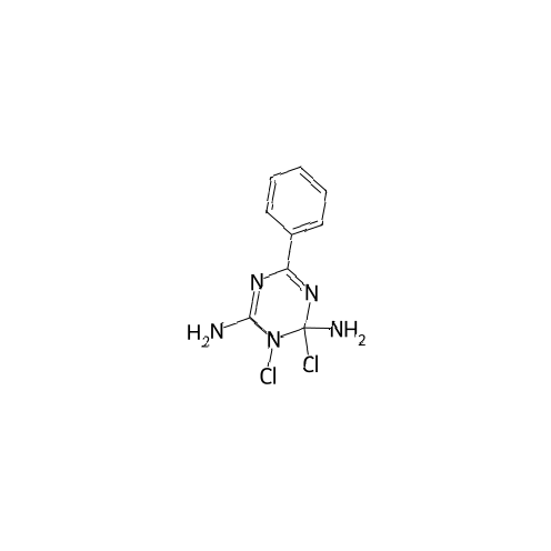 NC1=NC(c2ccccc2)=NC(N)(Cl)N1Cl